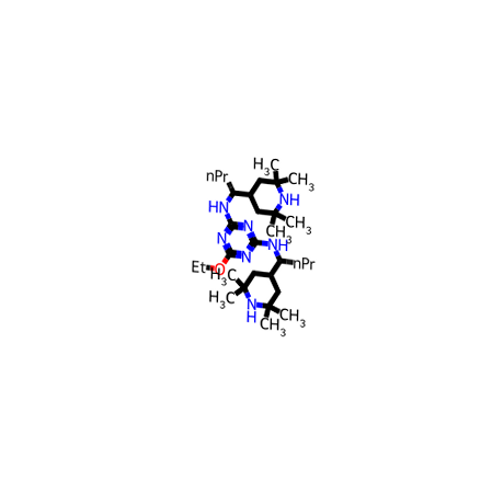 CCCC(Nc1nc(NC(CCC)C2CC(C)(C)NC(C)(C)C2)nc(OCC)n1)C1CC(C)(C)NC(C)(C)C1